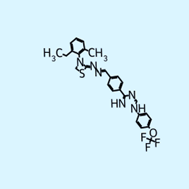 CCc1cccc(C)c1N1CS/C1=N\N=C\c1ccc(C(=N)/N=C\Nc2ccc(OC(F)(F)F)cc2)cc1